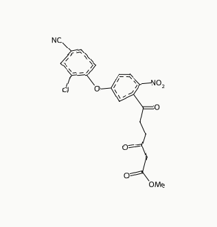 COC(=O)CC(=O)CCC(=O)c1cc(Oc2ccc(C#N)cc2Cl)ccc1[N+](=O)[O-]